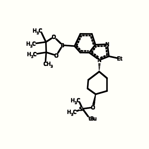 CCc1nc2ccc(B3OC(C)(C)C(C)(C)O3)cc2n1[C@H]1CC[C@H](O[Si](C)(C)C(C)(C)C)CC1